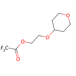 O=C(OCCOC1CCOCC1)C(F)(F)F